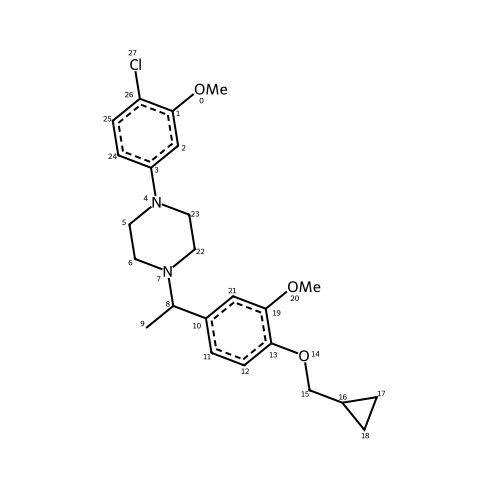 COc1cc(N2CCN(C(C)c3ccc(OCC4CC4)c(OC)c3)CC2)ccc1Cl